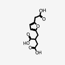 O=C(O)Cc1ccc(CC(CC(=O)O)C(=O)O)o1